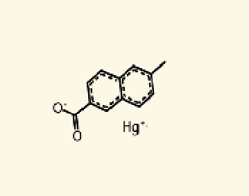 Cc1ccc2cc(C(=O)[O-])ccc2c1.[Hg+]